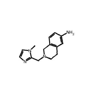 Cn1ccnc1CN1CCc2cc(N)ccc2C1